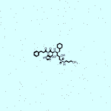 CCCCNS(=O)(=O)C[C@@H](O)[C@H](O)[C@H](CC1CCCCC1)N[C@@H](Cc1c[nH]cn1)C(=O)NC(=O)CCc1ccccc1